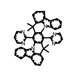 CC1(C)c2c(-c3ncccn3)c3c(c(-c4ncccn4)c2-n2c4ccccc4c4cccc1c42)C(C)(C)c1cccc2c4ccccc4n-3c12